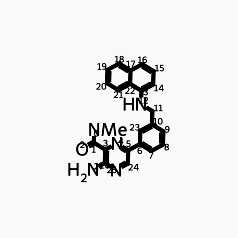 CNC(=O)c1nc(-c2cccc(CNc3cccc4ccccc34)c2)cnc1N